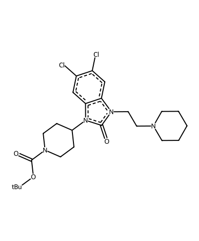 CC(C)(C)OC(=O)N1CCC(n2c(=O)n(CCN3CCCCC3)c3cc(Cl)c(Cl)cc32)CC1